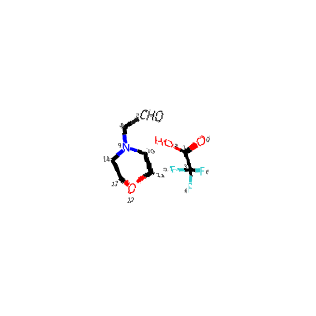 O=C(O)C(F)(F)F.O=CCN1CCOCC1